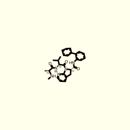 CN[C@@H](C)C(=O)N[C@H](C(=O)N1c2ncccc2C[C@H]1C(=O)Nc1ccccc1-c1ccccc1)C(C)C